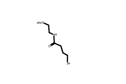 COCCNC(=O)CCCC(C)C